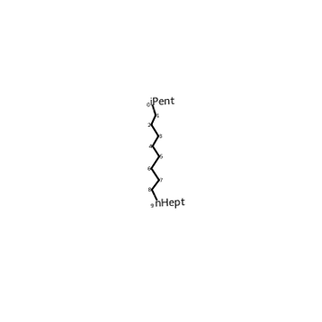 C[CH]CC(C)CCCCCCCCCCCCCCC